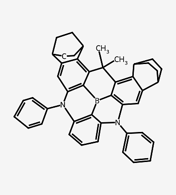 CC1(C)c2c3c(cc4c2C2CCC4CC2)N(c2ccccc2)c2cccc4c2B3c2c(cc3c(c21)C1CCC3CC1)N4c1ccccc1